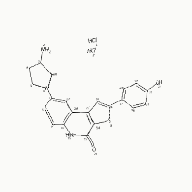 Cl.Cl.NC1CCN(c2ccc3[nH]c(=O)c4sc(-c5ccc(O)cc5)cc4c3c2)C1